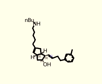 CCCCNCCCCCC1=C[C@H]2C[C@@H](O)[C@H](/C=C/CCc3cccc(C)c3)[C@H]2C1